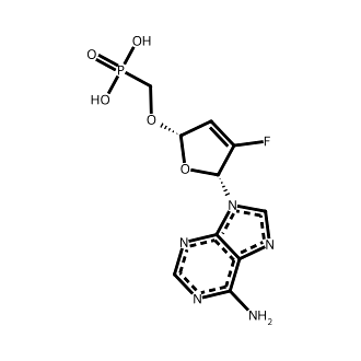 Nc1ncnc2c1ncn2[C@@H]1O[C@H](OCP(=O)(O)O)C=C1F